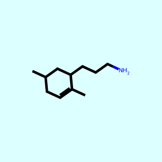 CC1=CCC(C)CC1CCCN